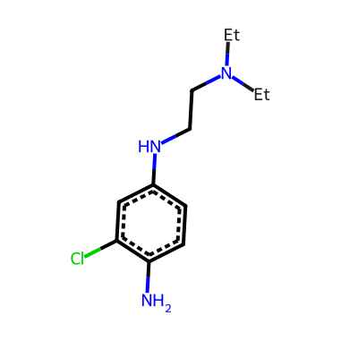 CCN(CC)CCNc1ccc(N)c(Cl)c1